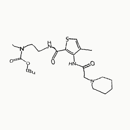 Cc1csc(C(=O)NCCN(C)C(=O)OC(C)(C)C)c1NC(=O)CN1CCCCC1